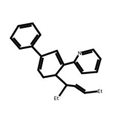 CCC=CC(CC)C1CC=C(c2ccccc2)C=C1c1ccccn1